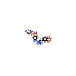 CN1CCC(NS(=O)(=O)c2ccc(Nc3cc(-c4ccc5c(c4)OCCO5)n[nH]3)cc2)CC1